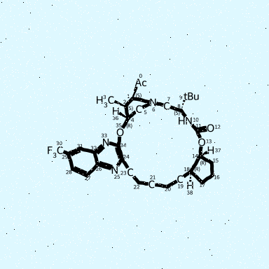 CC(=O)[C@@H]1[C@H](C)[C@@H]2CN1C[C@H](C(C)(C)C)NC(=O)O[C@@H]1CCC[C@H]1CCCCCc1nc3ccc(C(F)(F)F)cc3nc1O2